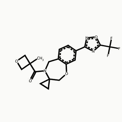 CC1(C(=O)N2Cc3ccc(-c4noc(C(F)(F)F)n4)cc3OCC23CC3)COC1